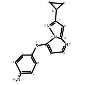 Nc1ccc(Sc2ccnc3cc(C4CC4)nn23)cc1